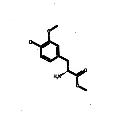 COC(=O)[C@H](N)Cc1ccc(Cl)c(OC)c1